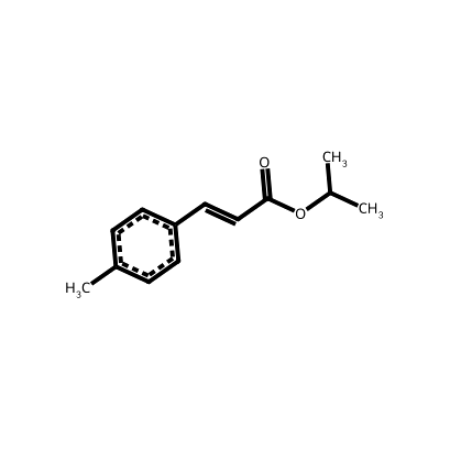 Cc1ccc(C=CC(=O)OC(C)C)cc1